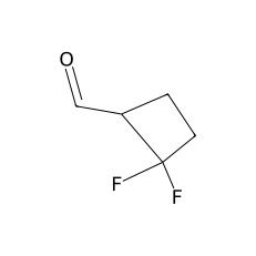 O=CC1CCC1(F)F